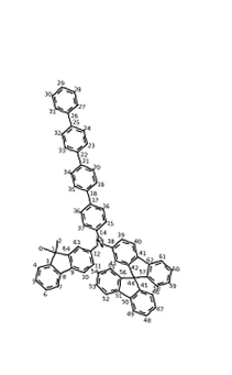 CC1(C)c2ccccc2-c2ccc(N(c3ccc(-c4ccc(-c5ccc(-c6ccccc6)cc5)cc4)cc3)c3ccc4c(c3)C3(c5ccccc5-c5ccccc53)c3ccccc3-4)cc21